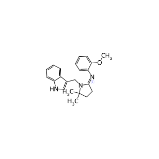 COc1ccccc1/N=C1/CCC(C)(C)N1Cc1c[nH]c2ccccc12